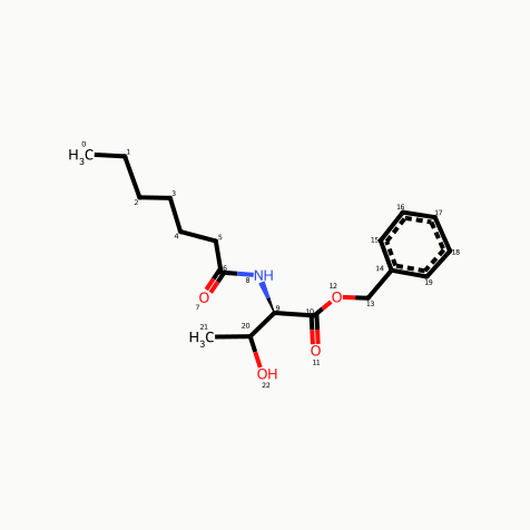 CCCCCCC(=O)N[C@@H](C(=O)OCc1ccccc1)C(C)O